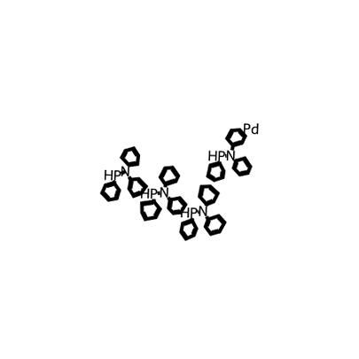 [Pd].c1ccc(PN(c2ccccc2)c2ccccc2)cc1.c1ccc(PN(c2ccccc2)c2ccccc2)cc1.c1ccc(PN(c2ccccc2)c2ccccc2)cc1.c1ccc(PN(c2ccccc2)c2ccccc2)cc1